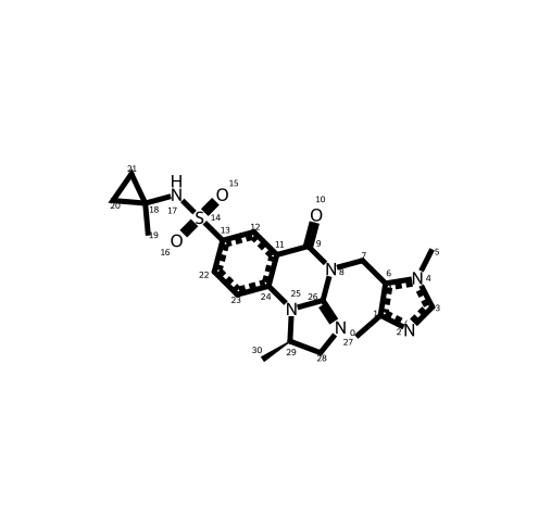 Cc1ncn(C)c1CN1C(=O)c2cc(S(=O)(=O)NC3(C)CC3)ccc2N2C1=NC[C@H]2C